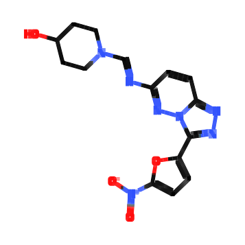 O=[N+]([O-])c1ccc(-c2nnc3ccc(N=CN4CCC(O)CC4)nn23)o1